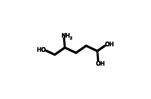 NC(CO)CCC(O)O